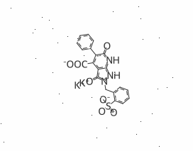 O=C([O-])c1c(-c2ccccc2)c(=O)[nH]c2[nH]n(Cc3ccccc3S(=O)(=O)[O-])c(=O)c12.[K+].[K+]